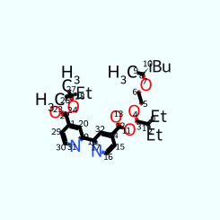 CCC(CC)C(OCCOC(C)[C@@H](C)CC)OC(=O)c1ccnc(-c2cc(C(=O)OC(C)(C)CC)ccn2)c1